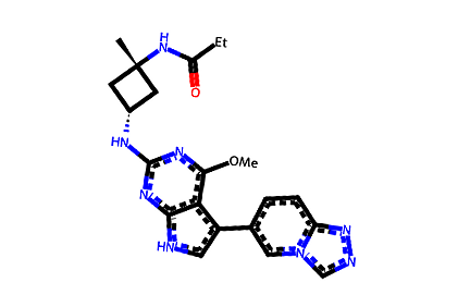 CCC(=O)N[C@]1(C)C[C@H](Nc2nc(OC)c3c(-c4ccc5nncn5c4)c[nH]c3n2)C1